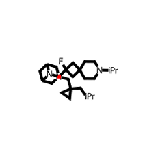 CC(C)CC1(CN2CC3CC(C2)N3CC2(F)CC3(CCN(C(C)C)CC3)C2)CC1